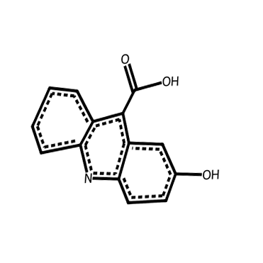 O=C(O)c1c2ccccc2nc2ccc(O)cc12